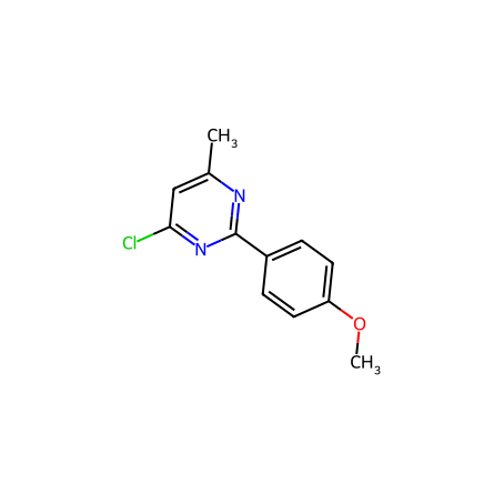 COc1ccc(-c2nc(C)cc(Cl)n2)cc1